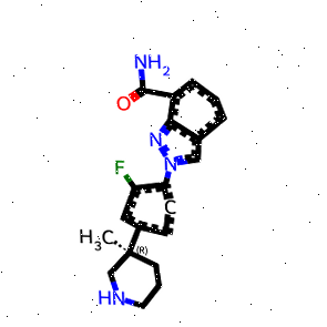 C[C@]1(c2ccc(-n3cc4cccc(C(N)=O)c4n3)c(F)c2)CCCNC1